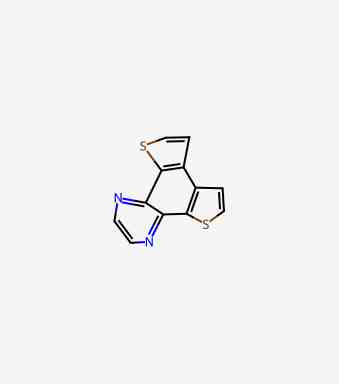 c1cnc2c(n1)c1sccc1c1ccsc12